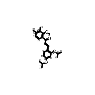 COc1c(C(=O)/C=C/c2ccc(OC(C)C)cc2OC(C)C)ccc(C)c1C